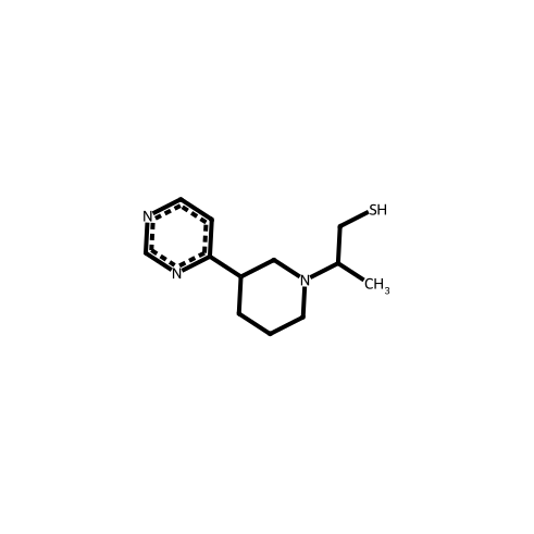 CC(CS)N1CCCC(c2ccncn2)C1